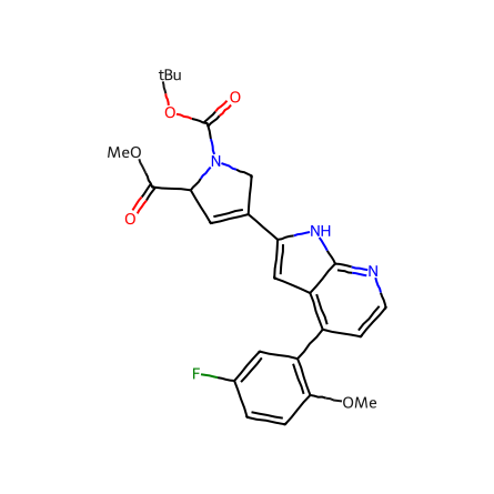 COC(=O)C1C=C(c2cc3c(-c4cc(F)ccc4OC)ccnc3[nH]2)CN1C(=O)OC(C)(C)C